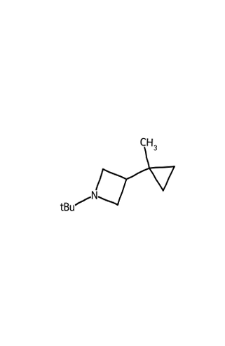 CC1(C2CN(C(C)(C)C)C2)CC1